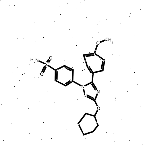 COc1ccc(-c2nc(OC3CCCCC3)nn2-c2ccc(S(N)(=O)=O)cc2)cc1